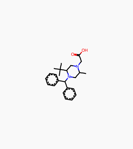 CC1CN(C(c2ccccc2)c2ccccc2)C(C(C)(C)C)CN1CC(=O)O